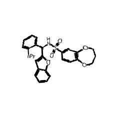 CCCc1ccccc1[C@@H](NS(=O)(=O)c1ccc2c(c1)OCCCO2)c1cc2ccccc2o1